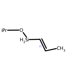 C/C=C/[SiH2]OC(C)C